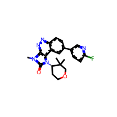 Cn1c(=O)n([C@H]2CCOCC2(C)C)c2c3cc(-c4ccc(F)nc4)ccc3nnc21